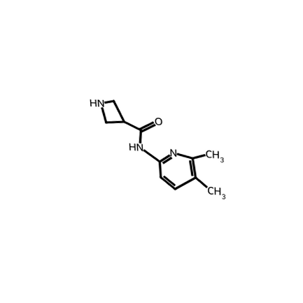 Cc1ccc(NC(=O)C2CNC2)nc1C